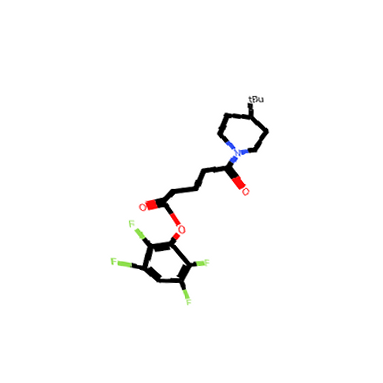 CC(C)(C)C1CCN(C(=O)CCCC(=O)Oc2c(F)c(F)cc(F)c2F)CC1